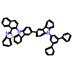 c1ccc(-c2cc(-c3ccccc3)cc(-n3c4ccccc4c4cc(-c5ccc6c(c5)c5ccccc5n6-c5ccc6ccccc6c5-c5nc6ccccc6s5)ccc43)c2)cc1